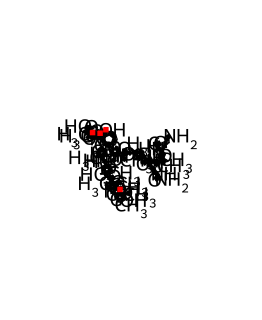 CCN(C(=O)OCc1ccc(NC(=O)[C@H](CCCNC(N)=O)NC(=O)[C@@H](NC(=O)[C@H](CCCCN)NC(C)=O)C(C)C)cc1)[C@H]1CO[C@@H](O[C@H]2[C@H](O[C@H]3C#CC=CC#C[C@]4(O)CC(=O)C(NC(=O)OC)=C3/C4=C\CSSC(C)C(=O)O)O[C@H](C)[C@@H](NO[C@H]3C[C@H](O)[C@H](SC(=O)c4c(C)c(I)c(O[C@@H]5O[C@@H](C)[C@H](O)[C@@H](OC)[C@H]5O)c(OC)c4OC)[C@@H](C)O3)[C@@H]2O)C[C@@H]1OC